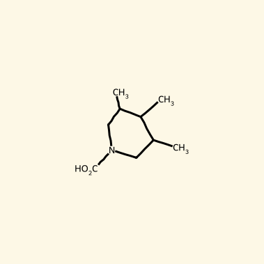 CC1CN(C(=O)O)CC(C)C1C